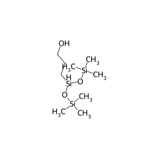 C[Si](C)(C)O[SiH](CCCO)O[Si](C)(C)C